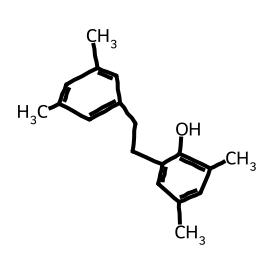 Cc1cc(C)cc(CCc2cc(C)cc(C)c2O)c1